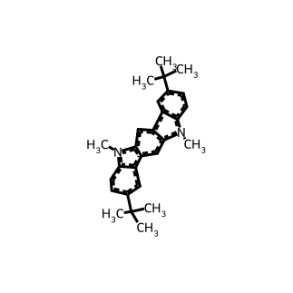 Cn1c2ccc(C(C)(C)C)cc2c2cc3c(cc21)c1cc(C(C)(C)C)ccc1n3C